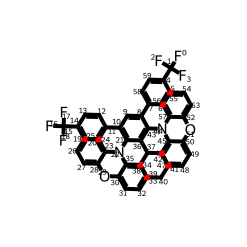 FC(F)(F)c1ccc(-c2cc(-c3ccc(C(F)(F)F)cc3)c(N3c4ccccc4Oc4ccccc43)c(C3CCCCC3)c2N2c3ccccc3Oc3ccccc32)cc1